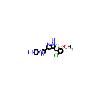 COc1ccc(Cl)c(Cc2c[nH]c3ncc(-c4cnn(C5CCNCC5)c4)cc23)c1Cl